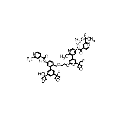 Cc1ncc(NC(=O)c2ccnc(C(C)(C)F)c2)cc1-c1cc(OCCOCc2ccc(NC(=O)c3ccnc(C(F)(F)F)c3)cc2-c2cc(C3(O)COC3)cc(C3(F)COC3)c2)nc(C2(CF)COC2)c1